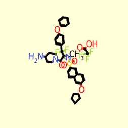 CN([C@@H](C(=O)N1CCC(N)CC1)C(F)(F)c1ccc(Oc2ccccc2)cc1)S(=O)(=O)c1ccc2cc(OC3CCCC3)ccc2c1.O=C(O)C(F)(F)F